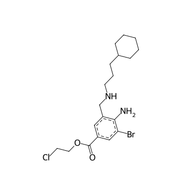 Nc1c(Br)cc(C(=O)OCCCl)cc1CNCCCC1CCCCC1